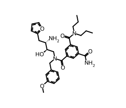 CCCN(CCC)C(=O)c1cc(C(N)=O)cc(C(=O)N(Cc2cccc(OC)c2)C[C@@H](O)[C@@H](N)Cc2ccco2)c1